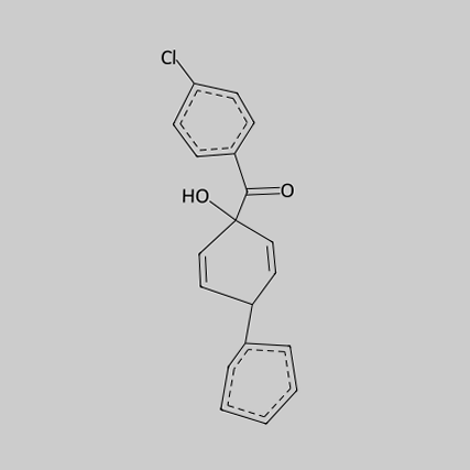 O=C(c1ccc(Cl)cc1)C1(O)C=CC(c2ccccc2)C=C1